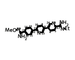 CC/N=C(\N)c1ccc(-c2ccc(-c3ccc(/C(N)=N/OC)cc3)nc2)cn1